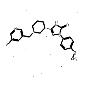 COc1ccc(-n2nc([C@H]3CCCN(Cc4cncc(F)c4)C3)[nH]c2=O)cc1